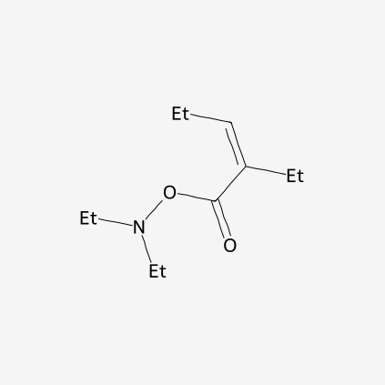 CCC=C(CC)C(=O)ON(CC)CC